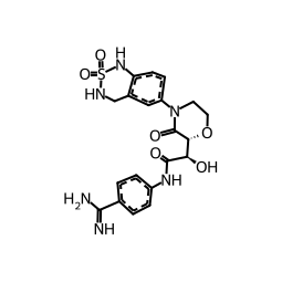 N=C(N)c1ccc(NC(=O)[C@H](O)[C@H]2OCCN(c3ccc4c(c3)CNS(=O)(=O)N4)C2=O)cc1